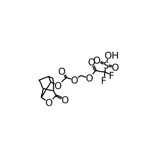 O=C(OCOC(=O)C(F)(F)S(=O)(=O)O)OC1C2CC3C(=O)OC1C3C2